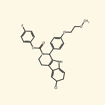 COCCOc1ccc(C2c3[nH]c4c(c3CCN2C(=O)Oc2ccc(F)cc2)=CC(Cl)CC=4)cc1